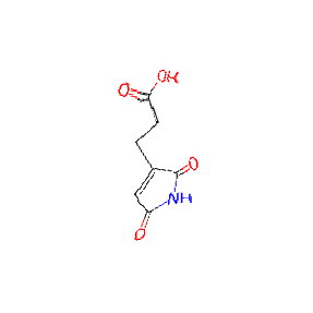 O=C(O)CCC1=CC(=O)NC1=O